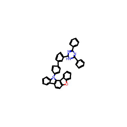 c1ccc(C2=NC(c3cccc(-c4ccc(-n5c6ccccc6c6ccc7oc8ccccc8c7c65)cc4)c3)NC(c3ccccc3)=N2)cc1